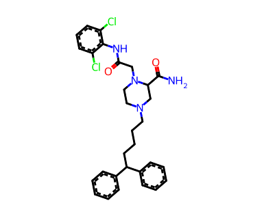 NC(=O)C1CN(CCCCC(c2ccccc2)c2ccccc2)CCN1CC(=O)Nc1c(Cl)cccc1Cl